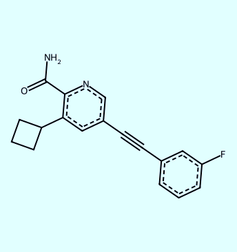 NC(=O)c1ncc(C#Cc2cccc(F)c2)cc1C1CCC1